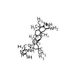 Cc1nnc(S)n1NC(=O)[C@@H]1CC(C)(C)CC2C3=CCC4[C@@]5(C)Cc6c(n[nH]c6N)C(C)(C)C5CC[C@@]4(C)[C@]3(C)CC[C@@H]21